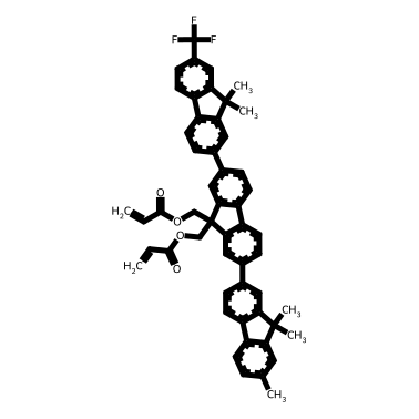 C=CC(=O)OCC1(COC(=O)C=C)c2cc(-c3ccc4c(c3)C(C)(C)c3cc(C)ccc3-4)ccc2-c2ccc(-c3ccc4c(c3)C(C)(C)c3cc(C(F)(F)F)ccc3-4)cc21